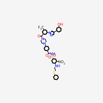 O=C(NS(=O)(=O)c1ccc(NCCSc2ccccc2)c([N+](=O)[O-])c1)c1ccc(N2CCN(C(=O)c3cc(-n4cc(-c5cccc(O)c5)cn4)cc(C(F)(F)F)c3)CC2)cc1